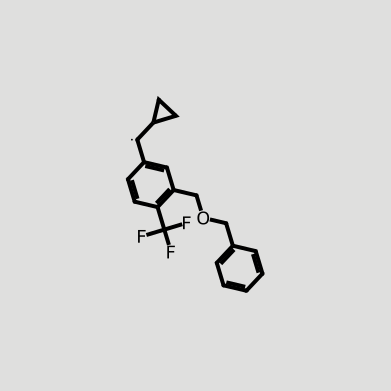 FC(F)(F)c1ccc([CH]C2CC2)cc1COCc1ccccc1